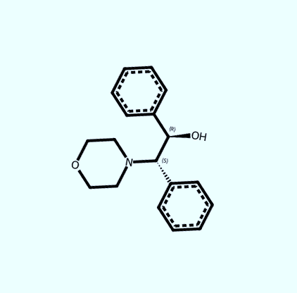 O[C@H](c1ccccc1)[C@H](c1ccccc1)N1CCOCC1